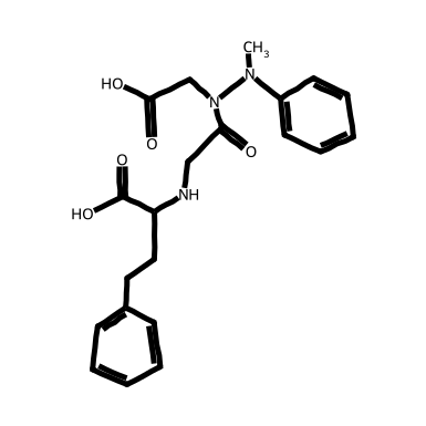 CN(c1ccccc1)N(CC(=O)O)C(=O)CNC(CCc1ccccc1)C(=O)O